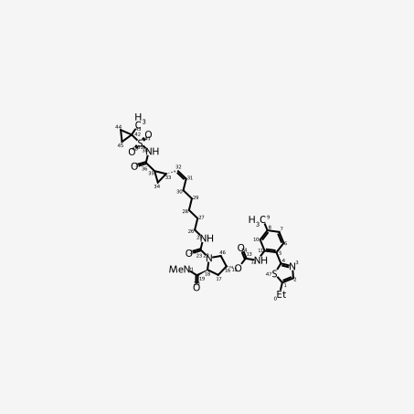 CCc1cnc(-c2ccc(C)cc2NC(=O)O[C@@H]2C[C@@H](C(=O)NC)N(C(=O)NCCCCC/C=C\[C@@H]3CC3C(=O)NS(=O)(=O)C3(C)CC3)C2)s1